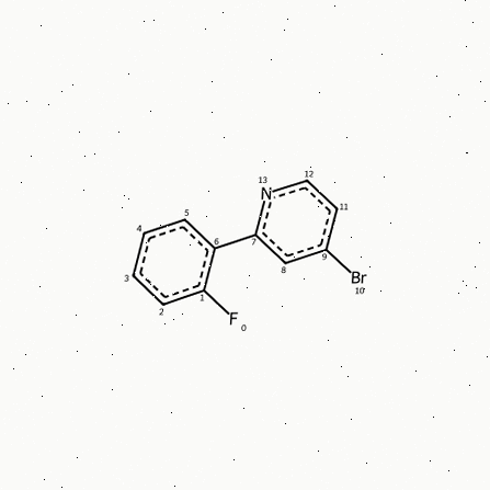 Fc1ccccc1-c1cc(Br)ccn1